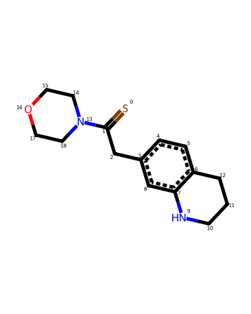 S=C(Cc1ccc2c(c1)NCCC2)N1CCOCC1